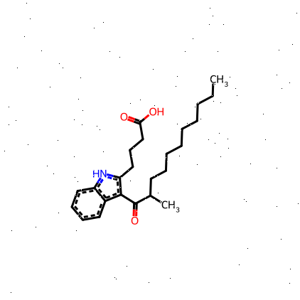 CCCCCCCCCC(C)C(=O)c1c(CCCC(=O)O)[nH]c2ccccc12